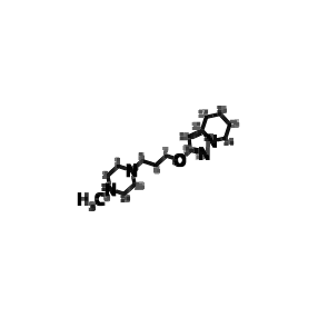 CN1CCN(CCCOc2cc3n(n2)CCCC3)CC1